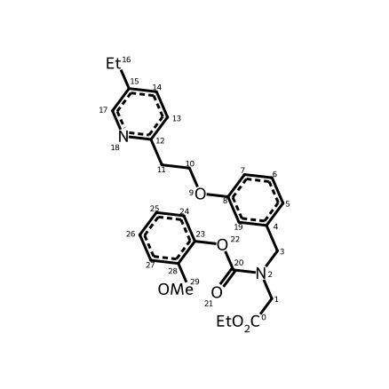 CCOC(=O)CN(Cc1cccc(OCCc2ccc(CC)cn2)c1)C(=O)Oc1ccccc1OC